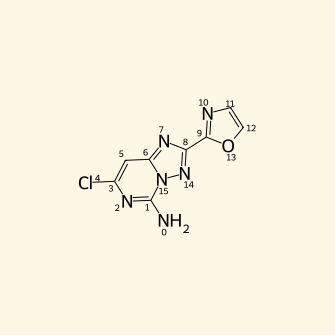 Nc1nc(Cl)cc2nc(-c3ncco3)nn12